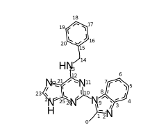 Cc1nc2ccccc2n1-c1nc(NCc2ccccc2)c2nc[nH]c2n1